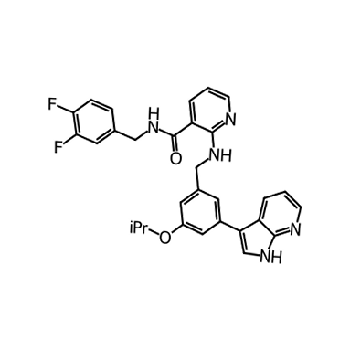 CC(C)Oc1cc(CNc2ncccc2C(=O)NCc2ccc(F)c(F)c2)cc(-c2c[nH]c3ncccc23)c1